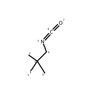 CC(C)(I)CN=C=O